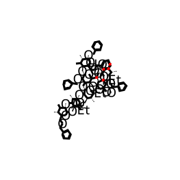 CCC1O[C@H](OCC2O[C@@H](O[C@@H]3C(COCc4ccccc4)O[C@@H](OCc4ccccc4)[C@@H](C)C3C)[C@H](OCc3ccccc3)C(O[C@@H]3OC(CC)[C@H](C)[C@@H](C)C3O[C@@H]3OC(CC)[C@@H](O[C@@H]4OC(COCc5ccccc5)[C@H](C)C(C)[C@@H]4OC(C)=O)C(C)[C@@H]3C)[C@@H]2O[C@@H]2OC3OOC(c4ccccc4)O[C@H]3C(C)[C@@H]2C)[C@H](O)C(C)[C@@H]1C